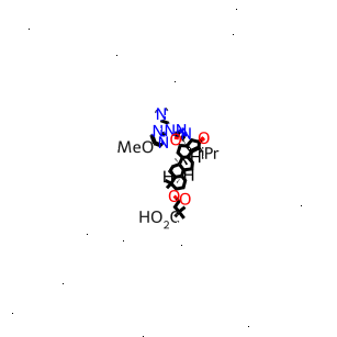 COc1cnc(N(CCN(C)C)c2nnc([C@@]34CC[C@]5(C)[C@H](CC[C@@H]6[C@@]7(C)CC[C@H](OC(=O)CC(C)(C)C(=O)O)C(C)(C)[C@@H]7CC[C@]65C)C3=C(C(C)C)C(=O)C4)o2)nc1